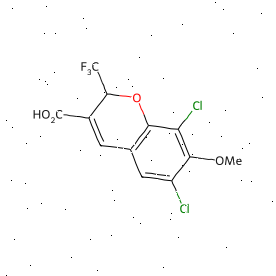 COc1c(Cl)cc2c(c1Cl)OC(C(F)(F)F)C(C(=O)O)=C2